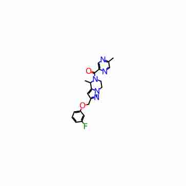 Cc1cnc(C(=O)N2CCn3nc(COc4cccc(F)c4)cc3C2C)cn1